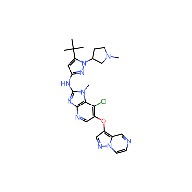 CN1CCC(n2nc(Nc3nc4ncc(Oc5cnn6ccncc56)c(Cl)c4n3C)cc2C(C)(C)C)C1